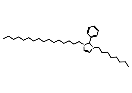 CCCCCCCCCCCCCCCCN1C=CN(CCCCCCCC)C1c1ccccc1